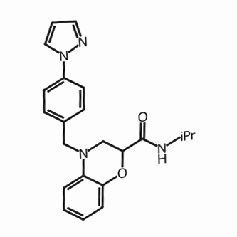 CC(C)NC(=O)C1CN(Cc2ccc(-n3cccn3)cc2)c2ccccc2O1